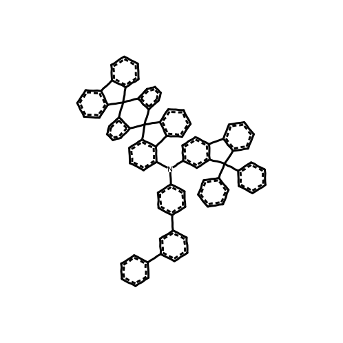 c1ccc(-c2cccc(-c3ccc(N(c4ccc5c(c4)C(c4ccccc4)(c4ccccc4)c4ccccc4-5)c4cccc5c4-c4ccccc4C54c5ccccc5C5(c6ccccc6-c6ccccc65)c5ccccc54)cc3)c2)cc1